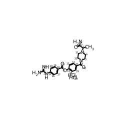 CC(C(N)=O)N1CCN(C(=O)c2ccc(OC(=O)c3ccc(NC(=N)N)cc3)cc2)CC1.Cl.Cl